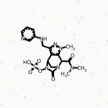 CN(C)C(=O)C1c2c(c(CNc3cccnc3)nn2C)C2CN1C(=O)N2OS(=O)(=O)O